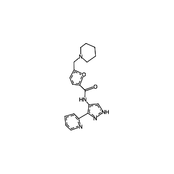 O=C(Nc1c[nH]nc1-c1ccccn1)c1ccc(CN2CCCCC2)o1